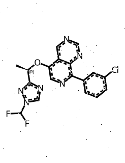 C[C@@H](Oc1cnc(-c2cccc(Cl)c2)c2ncncc12)c1ncn(C(F)F)n1